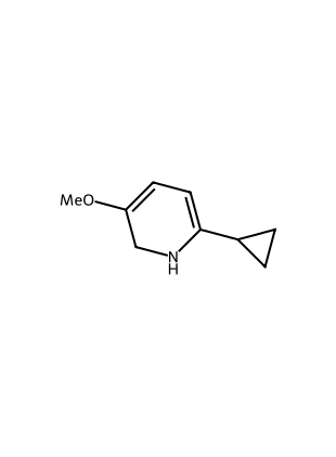 COC1=CC=C(C2CC2)NC1